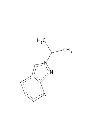 CC(C)n1cc2cccnc2n1